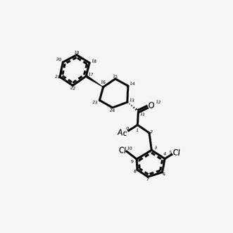 CC(=O)C(Cc1c(Cl)cccc1Cl)C(=O)[C@H]1CC[C@H](c2ccccc2)CC1